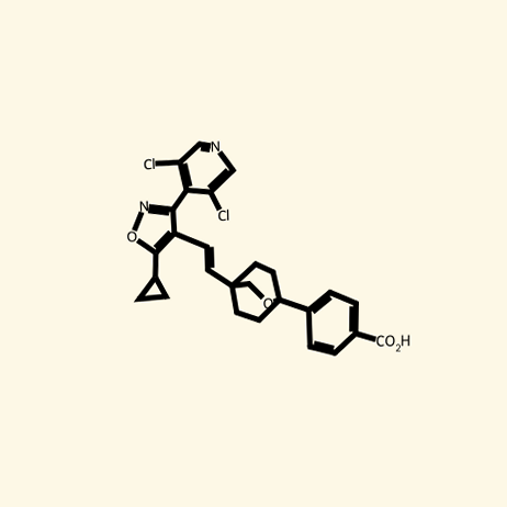 O=C(O)c1ccc(C23CCC(C=Cc4c(-c5c(Cl)cncc5Cl)noc4C4CC4)(CC2)CO3)cc1